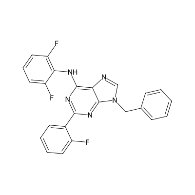 Fc1ccccc1-c1nc(Nc2c(F)cccc2F)c2ncn(Cc3ccccc3)c2n1